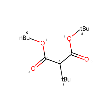 CCCCOC(=O)C(C(=O)OC(C)(C)C)C(C)(C)C